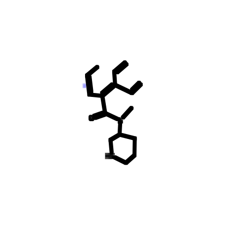 C=CC(C=C)=C(/C=C\C)C(=O)N(C)C1CCCNC1